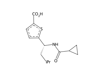 CC(C)C[C@@H](NC(=O)C1CC1)c1ccc(C(=O)O)s1